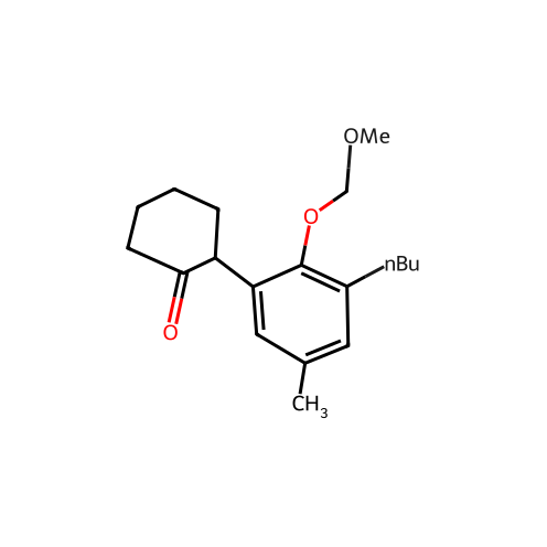 CCCCc1cc(C)cc(C2CCCCC2=O)c1OCOC